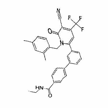 CCNC(=O)c1ccc(-c2cccc(-c3cc(C(F)(F)F)c(C#N)c(=O)n3Cc3ccc(C)cc3C)c2)cc1